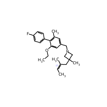 C/C=C(/C)CC1(C)CN(Cc2cc(C)c(-c3ccc(F)cc3)c(OCC)c2)C1